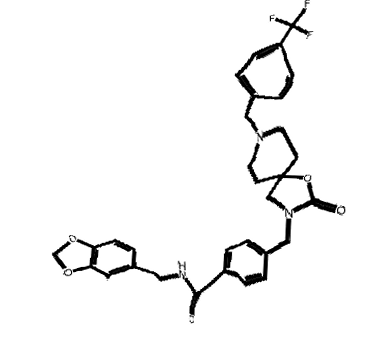 O=C(NCc1ccc2c(c1)OCO2)c1ccc(CN2CC3(CCN(Cc4ccc(C(F)(F)F)cc4)CC3)OC2=O)cc1